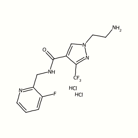 Cl.Cl.NCCn1cc(C(=O)NCc2ncccc2F)c(C(F)(F)F)n1